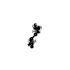 COC(=O)N[C@H](C(=O)N1[C@@H]2C[C@@H]2C[C@H]1c1ncc(-c2ccc(C#Cc3ccc4nc([C@@H]5CC6(CC6)CN5C(=O)[C@H](C)c5ccccc5)[nH]c4c3)cc2)[nH]1)C(C)C